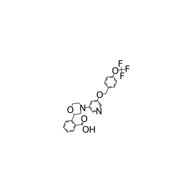 O=C(O)c1ccccc1C1CN(c2cncc(OCc3ccc(OC(F)(F)F)cc3)c2)CCO1